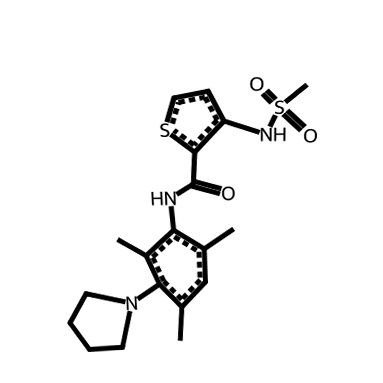 Cc1cc(C)c(N2CCCC2)c(C)c1NC(=O)c1sccc1NS(C)(=O)=O